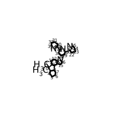 CC1(C)c2ccccc2-c2c1ccc1c2ccn1-c1cc(-c2ccccn2)nc(-c2ccccn2)c1